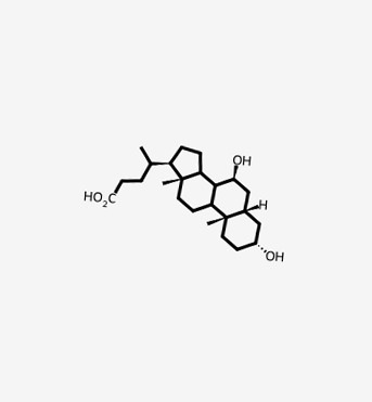 CC(CCC(=O)O)[C@H]1CCC2C3C(CC[C@@]21C)[C@@]1(C)CC[C@@H](O)C[C@H]1C[C@@H]3O